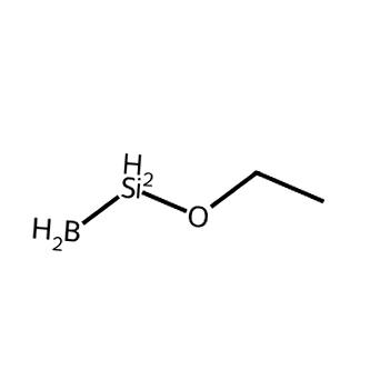 B[SiH2]OCC